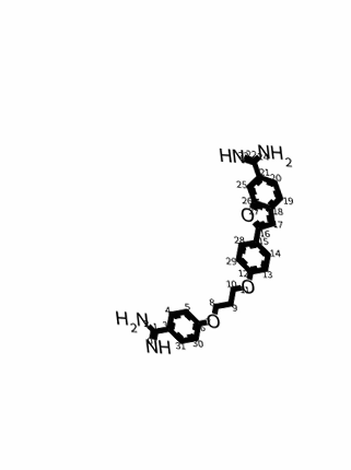 N=C(N)c1ccc(OCCCOc2ccc(-c3cc4ccc(C(=N)N)cc4o3)cc2)cc1